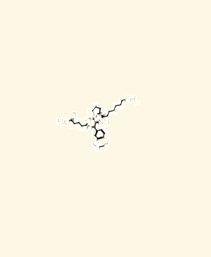 CCCCCCCC(=O)N[C@H](CN1CCCC1)[C@H](OC(=O)CCCC(=O)O)c1ccc2c(c1)OCCO2